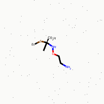 CCS[C@@](C)(NOCCN)C(=O)O